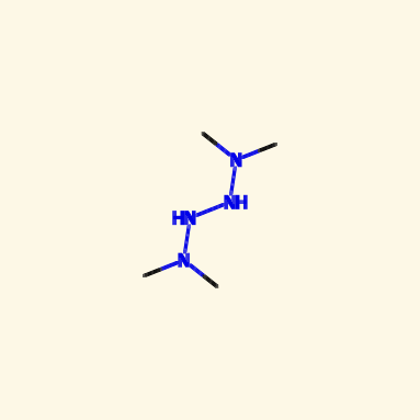 CN(C)NNN(C)C